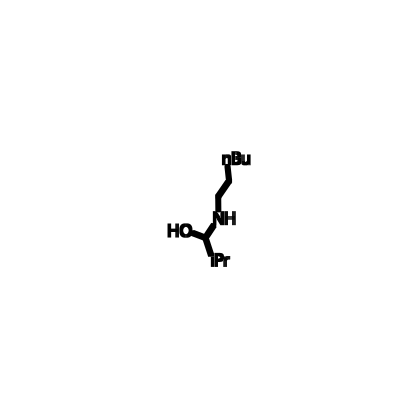 CCCCCCNC(O)C(C)C